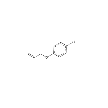 C=CCOc1[c]cc(Cl)cc1